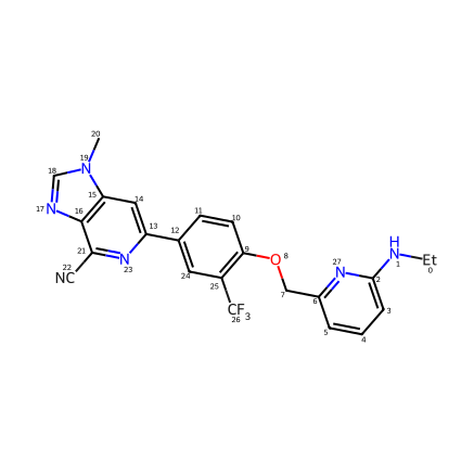 CCNc1cccc(COc2ccc(-c3cc4c(ncn4C)c(C#N)n3)cc2C(F)(F)F)n1